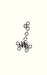 c1ccc2c(c1)oc1cc(-c3ccc(-c4ccc(-c5nc(-n6c7ccccc7c7ccccc76)nc(-n6c7ccccc7c7ccccc76)n5)cc4)cc3)ccc12